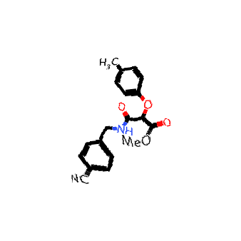 COC(=O)C(Oc1ccc(C)cc1)C(=O)NCc1ccc(C#N)cc1